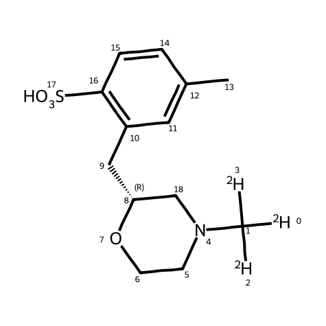 [2H]C([2H])([2H])N1CCO[C@H](Cc2cc(C)ccc2S(=O)(=O)O)C1